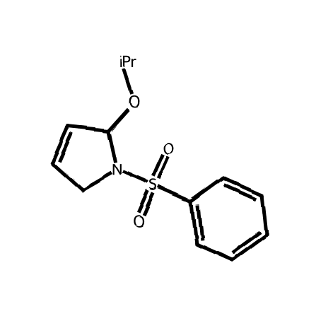 CC(C)OC1C=CCN1S(=O)(=O)c1ccccc1